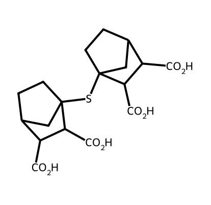 O=C(O)C1C2CCC(SC34CCC(C3)C(C(=O)O)C4C(=O)O)(C2)C1C(=O)O